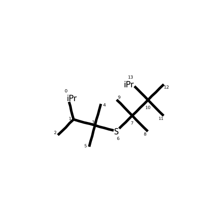 CC(C)C(C)C(C)(C)SC(C)(C)C(C)(C)C(C)C